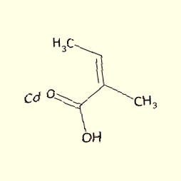 CC=C(C)C(=O)O.[Cd]